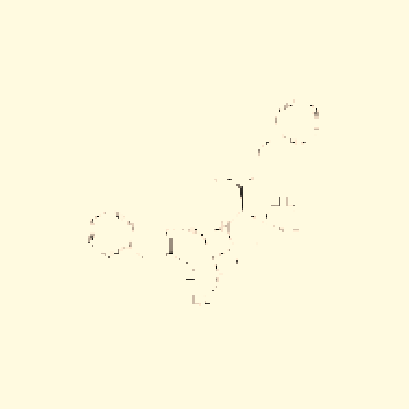 CO[C@@]1(NC(=O)Cc2ccccc2)C(=O)N2[C@@H](C(=O)OCc3ccccc3)C(C)(C)S[C@@H]21